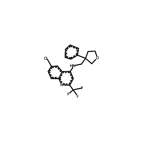 FC(F)(F)c1cc(NCC2(c3ccccc3)CCOC2)c2cc(Cl)ccc2n1